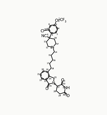 N#CC1(c2ccc(OC(F)(F)F)cc2Cl)CCN(CCCCCc2cccc3c2CN(C2CCC(=O)NC2=O)C3=O)CC1